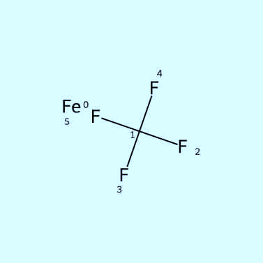 FC(F)(F)F.[Fe]